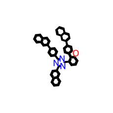 C1=CC2=CC=C(c3ccc4c(c3)oc3cccc(-c5nc(-c6ccc(-c7ccc8ccccc8c7)cc6)nc(-c6ccc7ccccc7c6)n5)c34)CC2C=C1